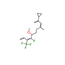 C=C/C(=C(/F)C(CC/C(C)=C\C(=C)C1CC1)OC)C(F)(F)F